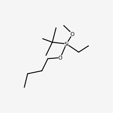 CCCCO[Si](CC)(OC)C(C)(C)C